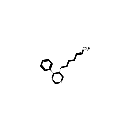 O=C(O)C=CCCCC[C@@H]1COCO[C@@H]1c1ccccc1